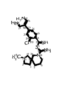 CN1CCC2(CCCN(C(=N)SC(=N)c3ccc(/C(C=N)=C/N)cc3Cl)C2)C1